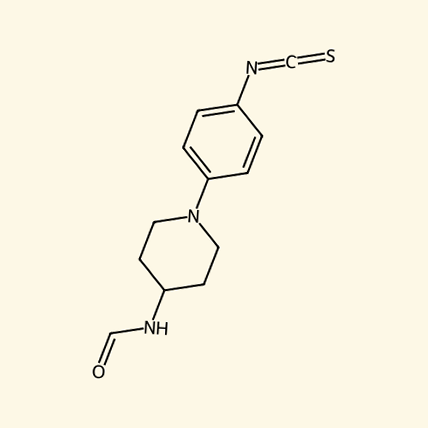 O=CNC1CCN(c2ccc(N=C=S)cc2)CC1